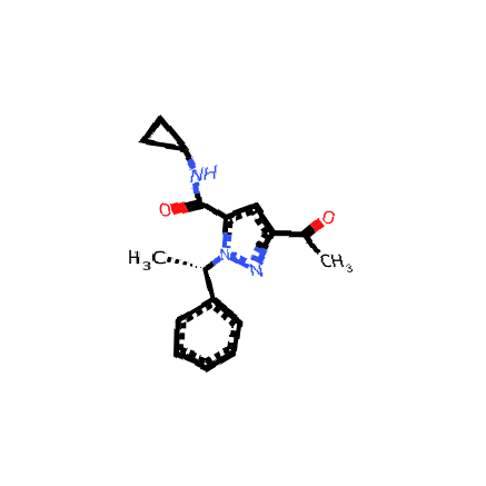 CC(=O)c1cc(C(=O)NC2CC2)n([C@@H](C)c2ccccc2)n1